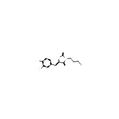 CC(C)CCCN1C(=O)S/C(=C\c2ccc(O)c(Br)c2)C1=O